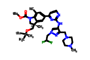 CN1CCN(Cc2nn(CC(F)F)cc2Nc2nccc(-c3cc(C#N)c4c(c3)[C@@](C)(CO[Si](C)(C)C(C)(C)C)CN4C(=O)OC(C)(C)C)n2)CC1